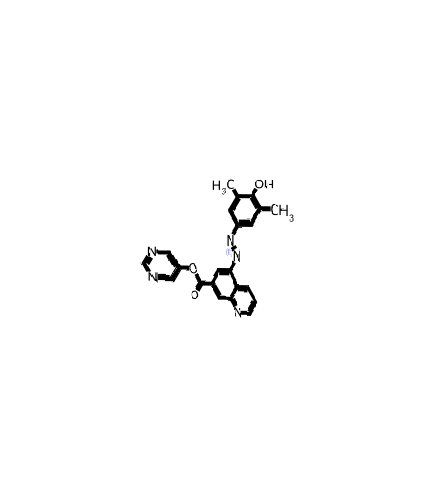 Cc1cc(/N=N/c2cc(C(=O)Oc3cncnc3)cc3ncccc23)cc(C)c1O